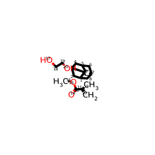 C1C2CC3CC1CC(C2)C3.C=C(C)C(=O)OC.OCCO